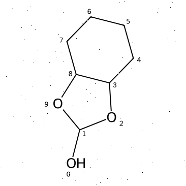 OC1OC2CCCCC2O1